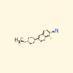 CCC1CCC(c2ccc3c(F)c(C#N)ccc3c2)CC1